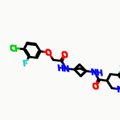 O=C(COc1ccc(Cl)c(F)c1)NC12CC(NC(=O)C3CNCC(F)C3)(C1)C2